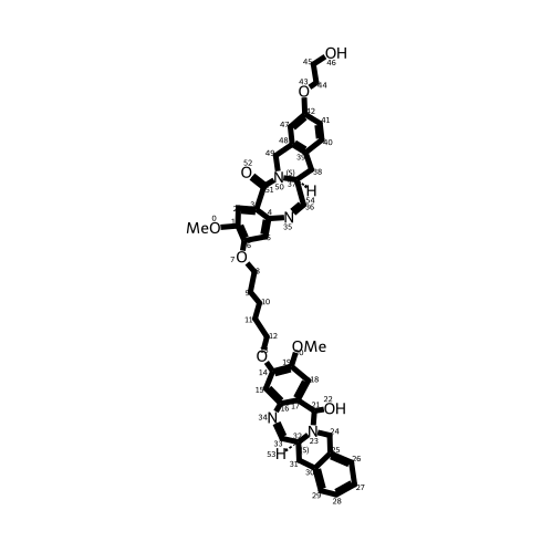 COc1cc2c(cc1OCCCCCOc1cc3c(cc1OC)C(O)N1Cc4ccccc4C[C@H]1C=N3)N=C[C@@H]1Cc3ccc(OCCO)cc3CN1C2=O